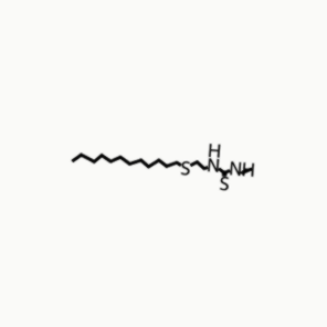 CCCCCCCCCCCCSCCNC(=S)NCC